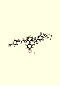 CCC(C)(C)c1ccc(S(=O)(=O)Nc2ncnc(OCCOc3ccc(Br)cn3)c2-c2ccc(C)cc2)cc1